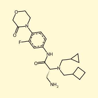 NC[C@H](C(=O)Nc1ccc(N2CCOCC2=O)c(F)c1)N(CC1CCC1)CC1CC1